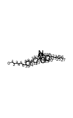 CCCCCCCc1ccc(C2CCC(C(=O)Oc3ccc(CCCCCC)cc3C#N)CC2)cc1